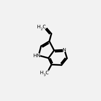 C=Cc1c[nH]c2c(C)ccnc12